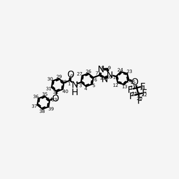 O=C(Nc1ccc(-c2ncn(-c3ccc(OC(F)(F)C(F)(F)F)cc3)n2)cc1)c1cccc(Oc2ccccc2)c1